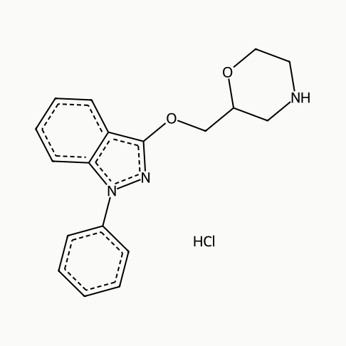 Cl.c1ccc(-n2nc(OCC3CNCCO3)c3ccccc32)cc1